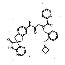 O=C(CN(Cc1ccccc1CN1CCC1)C(=O)c1ccccn1)Nc1ccc2c(c1)CC1(C2)C(=O)Nc2ncccc21